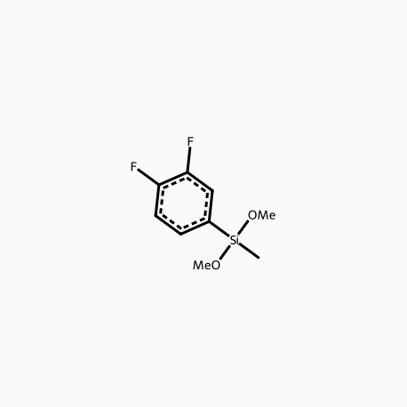 CO[Si](C)(OC)c1ccc(F)c(F)c1